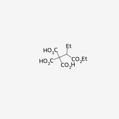 CCOC(=O)C(CC)C(C(=O)O)(C(=O)O)C(=O)O